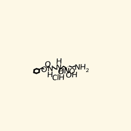 Cl.NCCC[C@@H](CC(=O)NCCNC(=O)OCc1ccccc1)NC(=O)O